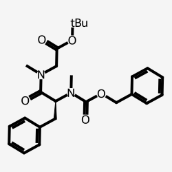 CN(CC(=O)OC(C)(C)C)C(=O)[C@H](Cc1ccccc1)N(C)C(=O)OCc1ccccc1